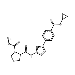 COC(=O)N1CCCC1C(=O)Nc1nc(-c2ccc(C(=O)NC3CC3)cc2)cs1